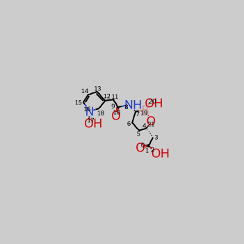 O=C(O)C[C@@H]1CC[C@H](NC(=O)CC2=CC=CN(O)C2)B(O)O1